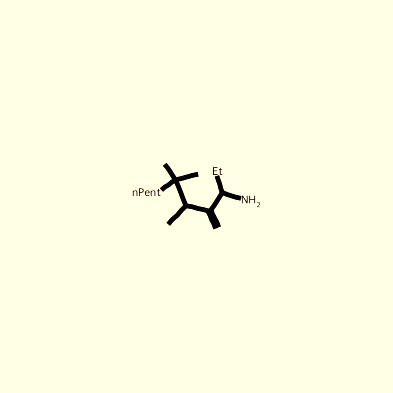 C=C(C(N)CC)C(C)C(C)(C)CCCCC